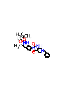 CC(Cc1ccc(-n2c(=O)[nH]c3c(c2=O)CCN(Cc2ccccc2)C3)cc1)NC(=O)OC(C)(C)C